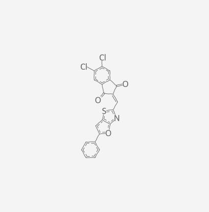 O=C1C(=Cc2nc3oc(-c4ccccc4)cc3s2)C(=O)c2cc(Cl)c(Cl)cc21